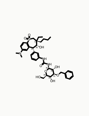 CCCC[C@]1(CC)CS(=O)(=O)c2ccc(N(C)C)cc2[C@@H](c2cccc(NC(=O)N[C@@H]3O[C@H](CO)[C@@H](O)[C@H](OCc4ccccc4)[C@H]3O)c2)[C@H]1O